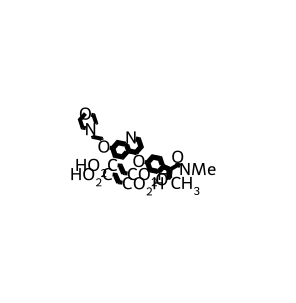 CNC(=O)c1c(C)oc2cc(Oc3ccnc4cc(OCCN5CCOCC5)ccc34)ccc12.O=C(O)C=CC(=O)O.O=C(O)C=CC(=O)O